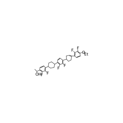 CCOc1ccc(C2=CCC(c3ccc(C4CCC(c5ccc(C(C)O)c(F)c5F)CC4)c(F)c3F)CC2)c(F)c1F